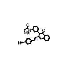 N#Cc1ccc(/C=C/C2=Cc3ccccc3C(=O)C2c2cccc(N3N=NCC3=O)c2)cc1